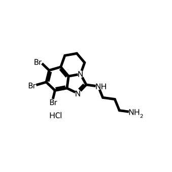 Cl.NCCCNc1nc2c(Br)c(Br)c(Br)c3c2n1CCC3